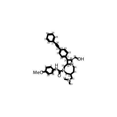 COc1ccc(NC(=O)N2CC(CN(C)C)CCN3C(C2)C(c2ccc(C#Cc4ccccc4)cc2)[C@H]3CO)cc1